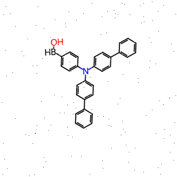 OBc1ccc(N(c2ccc(-c3ccccc3)cc2)c2ccc(-c3ccccc3)cc2)cc1